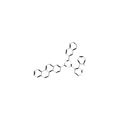 c1ccc2cc(-c3nc(-c4ccc5c(ccc6c7ccccc7ccc56)c4)nc(-c4ccnc5oc6ccccc6c45)n3)ccc2c1